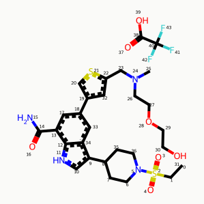 CCS(=O)(=O)N1CCC(c2c[nH]c3c(C(N)=O)cc(-c4csc(CN(C)CCOCCO)c4)cc23)CC1.O=C(O)C(F)(F)F